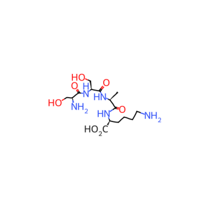 C[C@H](NC(=O)[C@H](CO)NC(=O)[C@@H](N)CO)C(=O)N[C@@H](CCCCN)C(=O)O